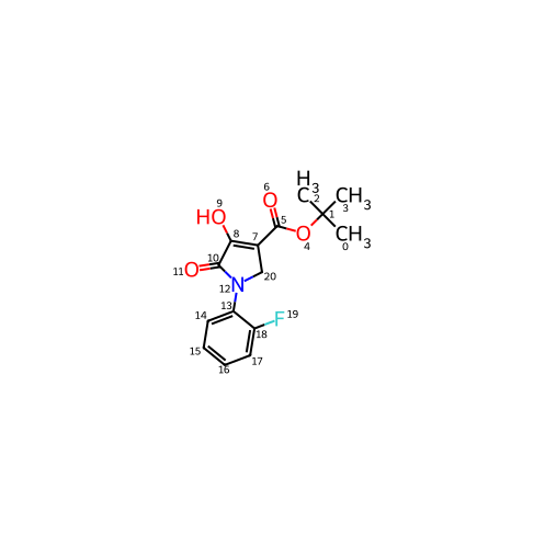 CC(C)(C)OC(=O)C1=C(O)C(=O)N(c2ccccc2F)C1